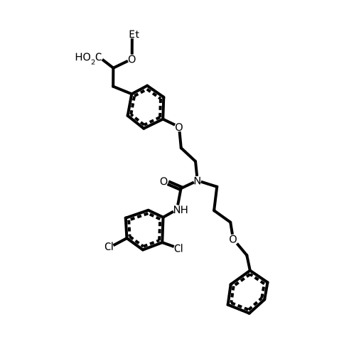 CCOC(Cc1ccc(OCCN(CCCOCc2ccccc2)C(=O)Nc2ccc(Cl)cc2Cl)cc1)C(=O)O